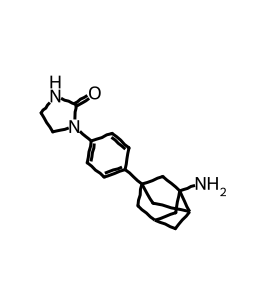 NC12CC3CC1CC(c1ccc(N4CCNC4=O)cc1)(C3)C2